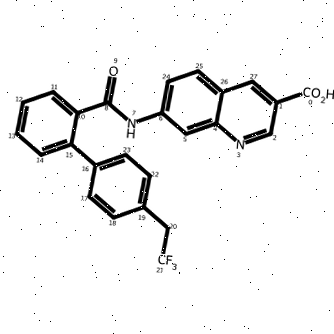 O=C(O)c1cnc2cc(NC(=O)c3ccccc3-c3ccc(CC(F)(F)F)cc3)ccc2c1